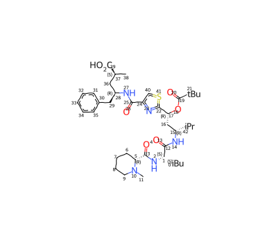 CC[C@H](C)[C@H](NC(=O)[C@H]1CCCCN1C)C(=O)N[C@H](C[C@@H](OC(=O)C(C)(C)C)c1nc(C(=O)N[C@@H](Cc2ccccc2)C[C@H](C)C(=O)O)cs1)C(C)C